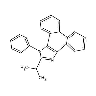 CC(C)c1nc2c3ccccc3c3ccccc3c2n1-c1ccccc1